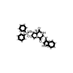 CC(C)(C)[Si](O[C@@H]1C[C@H]2C(=O)N[C@H](Cc3c[nH]c4ccccc34)C(=O)N2C1)(c1ccccc1)c1ccccc1